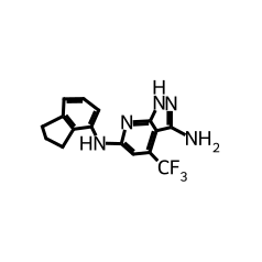 Nc1n[nH]c2nc(Nc3cccc4c3CCC4)cc(C(F)(F)F)c12